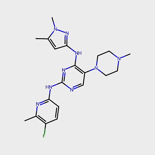 Cc1nc(Nc2ncc(N3CCN(C)CC3)c(Nc3cc(C)n(C)n3)n2)ccc1F